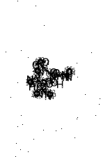 COC(=O)[C@H](Cc1cc(CN(Cc2ccccn2)Cc2ccccn2)c(O)c(CN(Cc2ccccn2)Cc2ccccn2)c1)N(CC(=O)NCn1nnc2ccccc21)C(=O)CCCCCN1C(=O)C=CC1=O